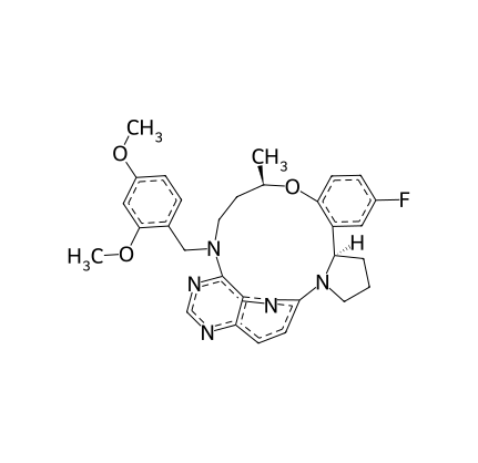 COc1ccc(CN2CC[C@@H](C)Oc3ccc(F)cc3[C@H]3CCCN3c3ccc4ncnc2c4n3)c(OC)c1